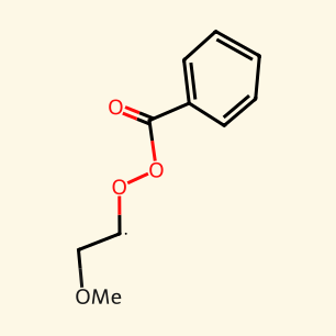 COC[CH]OOC(=O)c1ccccc1